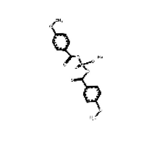 COc1ccc(C(=O)OP(=O)([O-])OC(=O)c2ccc(OC)cc2)cc1.[Na+]